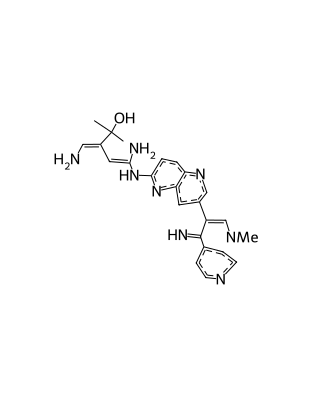 CN/C=C(\C(=N)c1ccncc1)c1cnc2ccc(N/C(N)=C/C(=C\N)C(C)(C)O)nc2c1